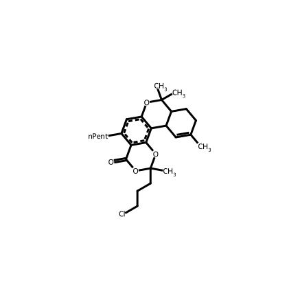 CCCCCc1cc2c(c3c1C(=O)OC(C)(CCCCl)O3)C1C=C(C)CCC1C(C)(C)O2